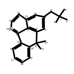 CC(C)(C)Cc1cc2c3c(nccc3c1)-c1ccccc1C2(C)C